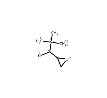 C[N+](C)(C)C(Cl)C1CO1.[Cl-]